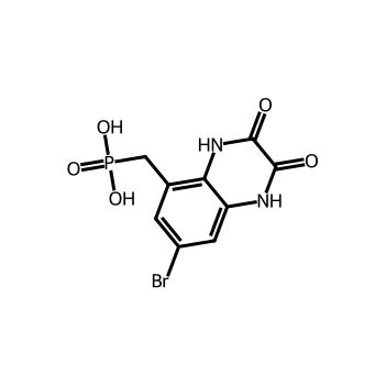 O=c1[nH]c2cc(Br)cc(CP(=O)(O)O)c2[nH]c1=O